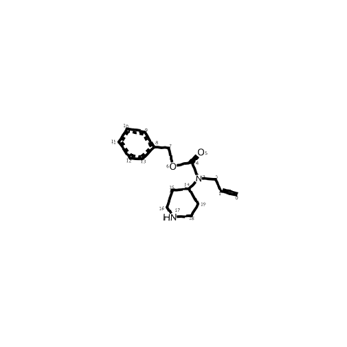 C=CCN(C(=O)OCc1ccccc1)C1CCNCC1